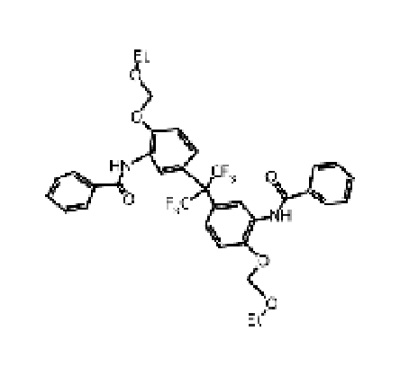 CCOCOc1ccc(C(c2ccc(OCOCC)c(NC(=O)c3ccccc3)c2)(C(F)(F)F)C(F)(F)F)cc1NC(=O)c1ccccc1